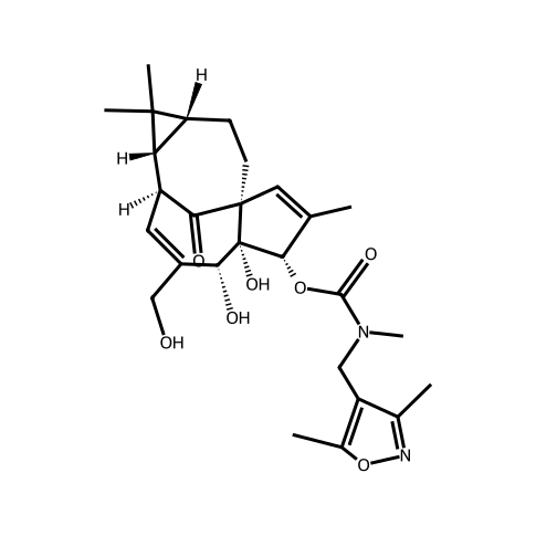 CC1=C[C@@]23CC[C@@H]4[C@H]([C@H](C=C(CO)[C@@H](O)[C@]2(O)[C@H]1OC(=O)N(C)Cc1c(C)noc1C)C3=O)C4(C)C